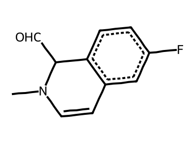 CN1C=Cc2cc(F)ccc2C1C=O